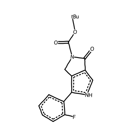 CC(C)(C)OC(=O)N1Cc2c(c[nH]c2-c2ccccc2F)C1=O